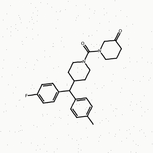 Cc1ccc(C(c2ccc(F)cc2)C2CCN(C(=O)N3CCCC(=O)C3)CC2)cc1